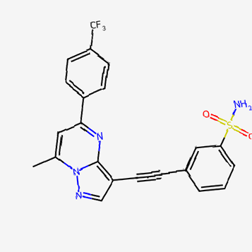 Cc1cc(-c2ccc(C(F)(F)F)cc2)nc2c(C#Cc3cccc(S(N)(=O)=O)c3)cnn12